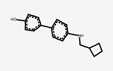 Oc1ccc(-c2ccc(NCC3CCC3)cc2)cc1